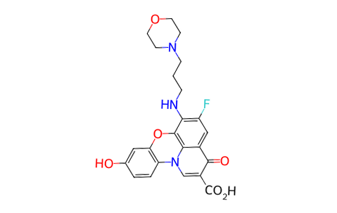 O=C(O)c1cn2c3c(c(NCCCN4CCOCC4)c(F)cc3c1=O)Oc1cc(O)ccc1-2